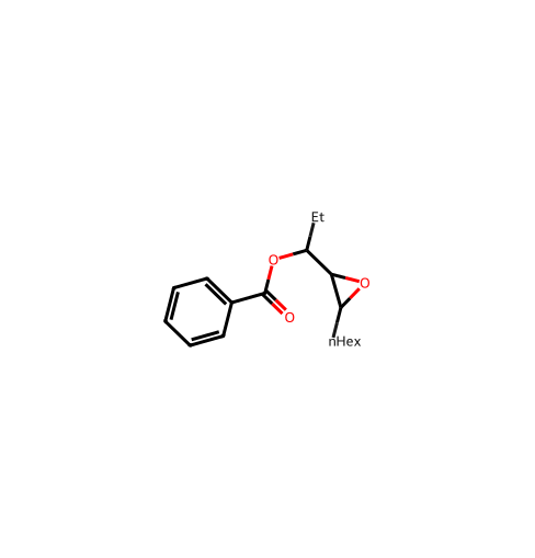 CCCCCCC1OC1C(CC)OC(=O)c1ccccc1